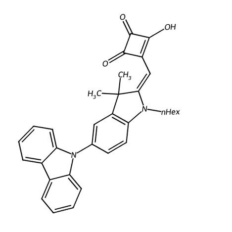 CCCCCCN1C(=Cc2c(O)c(=O)c2=O)C(C)(C)c2cc(-n3c4ccccc4c4ccccc43)ccc21